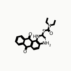 CCN(CC)C(=O)SC(I)Nc1c(N)ccc2c1C(=O)c1ccccc1C2=O